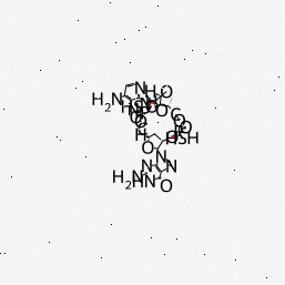 Nc1nc2c(ncn2[C@@H]2O[C@@H]3COP(=O)(S)O[C@H]4[C@H]5OC[C@]4(COP(=O)(S)O[C@@H]2C3)O[C@H]5n2cnc3c(N)ccnc32)c(=O)[nH]1